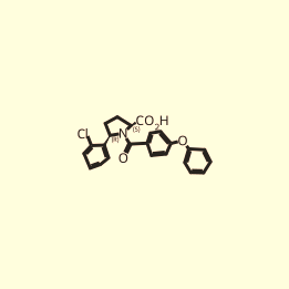 O=C(O)[C@@H]1CC[C@H](c2ccccc2Cl)N1C(=O)c1ccc(Oc2ccccc2)cc1